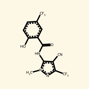 Cn1nc(C(F)(F)F)c(C#N)c1NC(=O)c1cc(C(F)(F)F)ccc1O